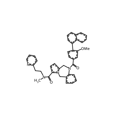 COc1cc(C(=O)N2Cc3ccc(C(=O)N(C)CCc4ccccn4)n3Cc3ccccc32)ccc1-c1cccc2ccccc12